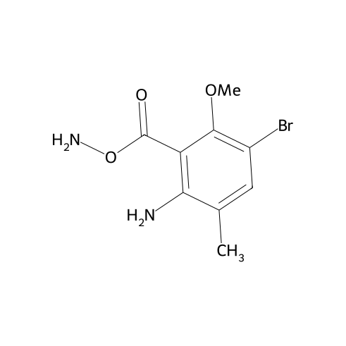 COc1c(Br)cc(C)c(N)c1C(=O)ON